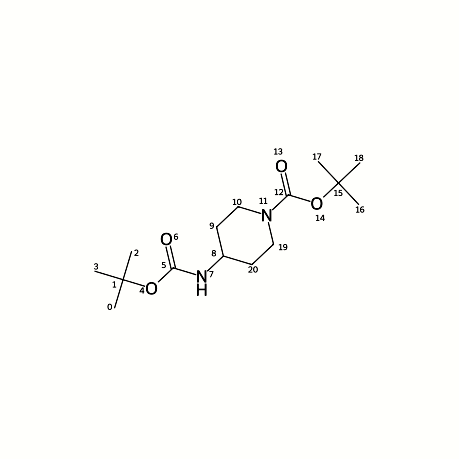 CC(C)(C)OC(=O)NC1CCN(C(=O)OC(C)(C)C)CC1